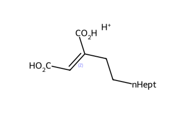 CCCCCCCCC/C(=C/C(=O)O)C(=O)O.[H+]